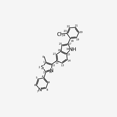 Cc1sc(-c2ccncc2)nc1-c1ccc2[nH]c(-c3ccccc3Cl)cc2c1